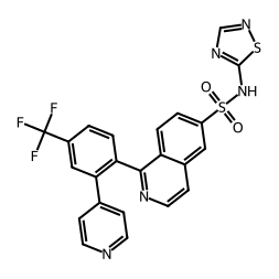 O=S(=O)(Nc1ncns1)c1ccc2c(-c3ccc(C(F)(F)F)cc3-c3ccncc3)nccc2c1